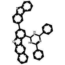 c1ccc(C2=NC(c3ccccc3)NC(c3cc(-c4ccc5sc6ccccc6c5c4)cc4oc5cc6ccccc6cc5c34)N2)cc1